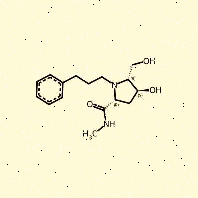 CNC(=O)[C@H]1C[C@H](O)[C@@H](CO)N1CCCc1ccccc1